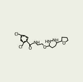 O=C(NCCOC1CCC(C2CCCO2)NN1)c1ccc(Cl)cc1Cl